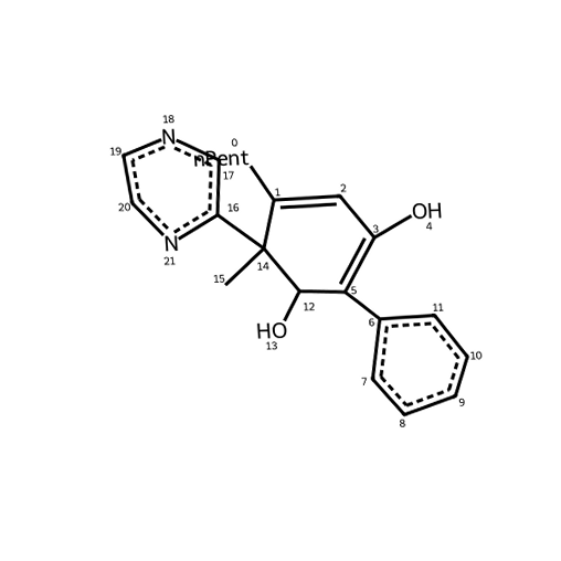 CCCCCC1=CC(O)=C(c2ccccc2)C(O)C1(C)c1cnccn1